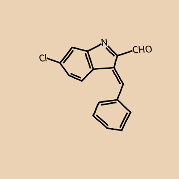 O=CC1=Nc2cc(Cl)ccc2C1=Cc1ccccc1